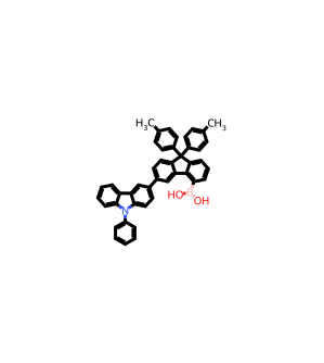 Cc1ccc(C2(c3ccc(C)cc3)c3ccc(-c4ccc5c(c4)c4ccccc4n5-c4ccccc4)cc3-c3c(B(O)O)cccc32)cc1